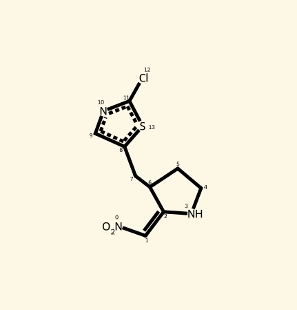 O=[N+]([O-])C=C1NCCC1Cc1cnc(Cl)s1